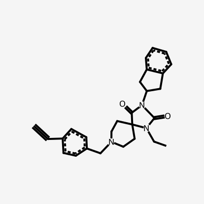 C#Cc1ccc(CN2CCC3(CC2)C(=O)N(C2Cc4ccccc4C2)C(=O)N3CC)cc1